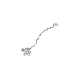 CCCCCCCCCCCCCCCCCCNC(=O)C(C)Br